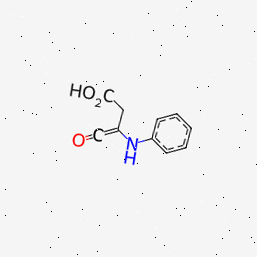 O=C=C(CC(=O)O)Nc1ccccc1